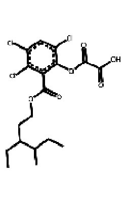 CCC(C)C(CC)CCOC(=O)c1c(Cl)c(Cl)cc(Cl)c1OC(=O)C(=O)O